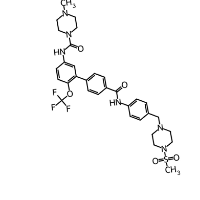 CN1CCN(C(=O)Nc2ccc(OC(F)(F)F)c(-c3ccc(C(=O)Nc4ccc(CN5CCN(S(C)(=O)=O)CC5)cc4)cc3)c2)CC1